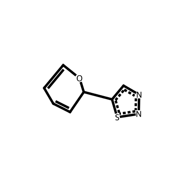 C1=COC(c2cnns2)C=C1